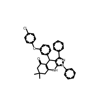 CC1(C)CC(=O)C2=C(C1)Nc1c(c(-c3ccccc3)nn1-c1ccccc1)C2c1cccc(Oc2ccc(Cl)cc2)c1